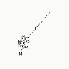 CCCCCCCC/C=C/CCCCCCCC(=O)Nc1nnc(NCCN(C)C)s1